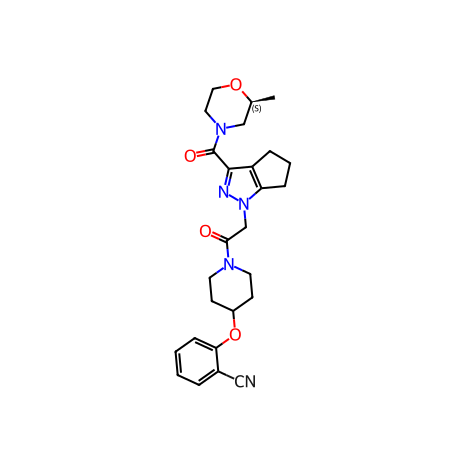 C[C@H]1CN(C(=O)c2nn(CC(=O)N3CCC(Oc4ccccc4C#N)CC3)c3c2CCC3)CCO1